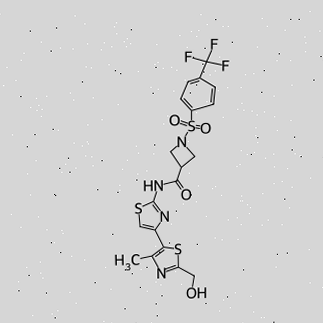 Cc1nc(CO)sc1-c1csc(NC(=O)C2CN(S(=O)(=O)c3ccc(C(F)(F)F)cc3)C2)n1